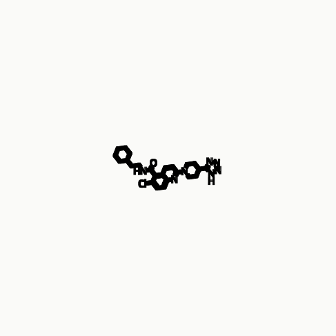 O=C(NCCC1CCCCC1)c1c(Cl)ccc2nc(N3CCC(c4nnn[nH]4)CC3)ccc12